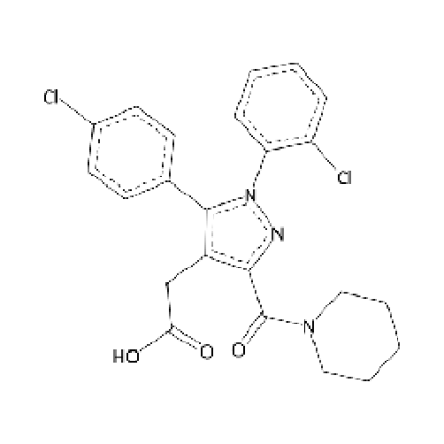 O=C(O)Cc1c(C(=O)N2CCCCC2)nn(-c2ccccc2Cl)c1-c1ccc(Cl)cc1